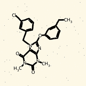 CCc1cccc(Oc2nc3c(c(=O)n(C)c(=O)n3C)n2Cc2cccc(Cl)c2)c1